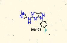 COc1cc(-n2ncc3cnc(Nc4cnn(C)c4)nc32)ccc1F